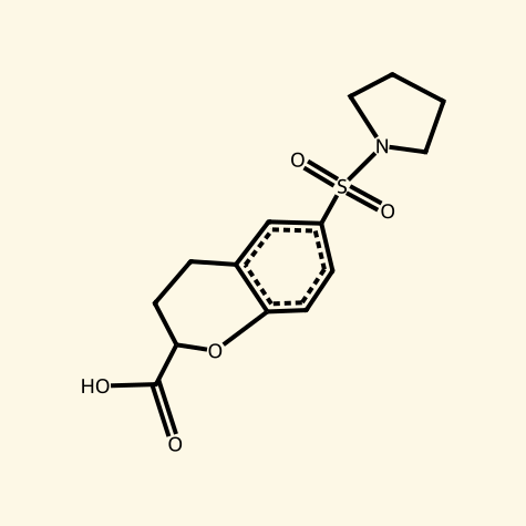 O=C(O)C1CCc2cc(S(=O)(=O)N3CCCC3)ccc2O1